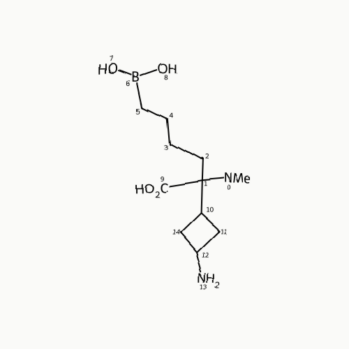 CNC(CCCCB(O)O)(C(=O)O)C1CC(N)C1